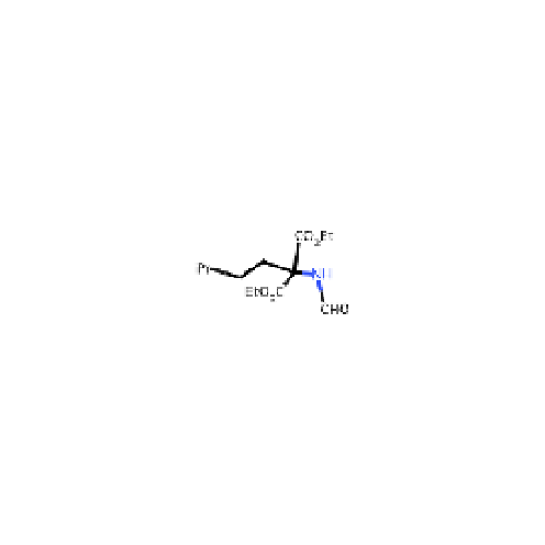 CCOC(=O)C(CCC(C)C)(NC=O)C(=O)OCC